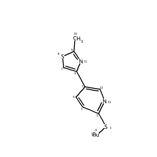 CCC(C)Sc1ccc(-c2csc(C)n2)cn1